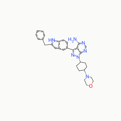 Nc1ncnc2c1c(-c1ccc3[nH]c(Cc4ccccc4)cc3c1)nn2C1CCC(N2CCOCC2)CC1